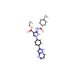 CCOC(=O)c1cn(-c2ccc(-c3cc4ncccn4n3)cc2)nc1NC(=O)[C@H]1CC[C@H](C)CC1